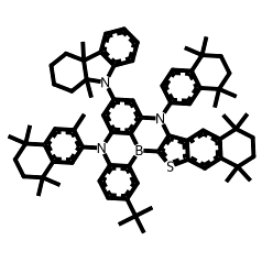 Cc1cc2c(cc1N1c3ccc(C(C)(C)C)cc3B3c4sc5cc6c(cc5c4N(c4ccc5c(c4)C(C)(C)CCC5(C)C)c4cc(N5c7ccccc7C7(C)CCCCC57C)cc1c43)C(C)(C)CCC6(C)C)C(C)(C)CCC2(C)C